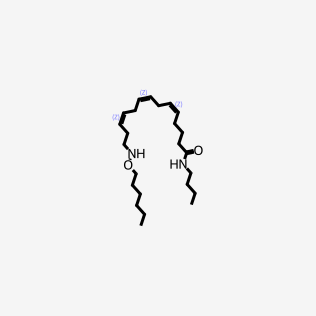 CCCCCCONCC/C=C\C/C=C\C/C=C\CCCC(=O)NCCCC